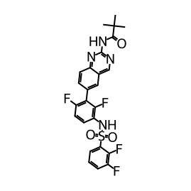 CC(C)(C)C(=O)Nc1ncc2cc(-c3c(F)ccc(NS(=O)(=O)c4cccc(F)c4F)c3F)ccc2n1